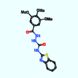 COc1cc(C(=O)NNC(=O)Nc2nc3ccccc3s2)cc(OC)c1OC